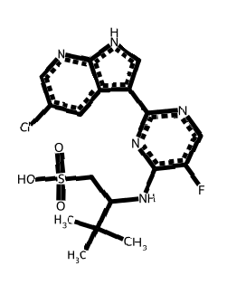 CC(C)(C)C(CS(=O)(=O)O)Nc1nc(-c2c[nH]c3ncc(Cl)cc23)ncc1F